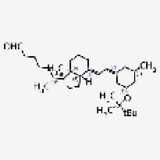 C[C@@H]1C/C(=C/C=C2\CCC[C@]3(C)[C@@H]([C@H](C)CCCCC=O)CC[C@@H]23)C[C@@H](O[Si](C)(C)C(C)(C)C)C1